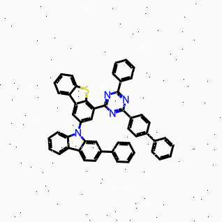 c1ccc(-c2ccc(-c3nc(-c4ccccc4)nc(-c4cc(-n5c6ccccc6c6ccc(-c7ccccc7)cc65)cc5c4sc4ccccc45)n3)cc2)cc1